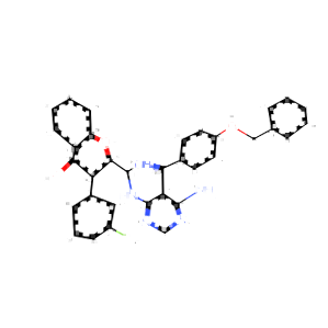 CC(Nc1ncnc(N)c1C(=N)c1ccc(OCc2ccccc2)cc1)c1oc2ccccc2c(=O)c1-c1cccc(F)c1